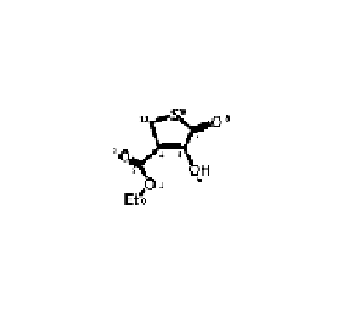 CCOC(=O)C1=C(O)C(=O)SC1